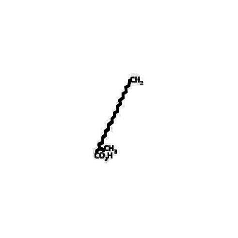 C=CCCCCCCCCCCCCC=CC=CC=CC=CC(=CC)CC(=O)O